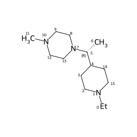 CCN1CCC([C@@H](C)N2CCN(C)CC2)CC1